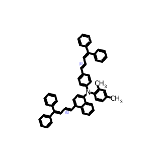 Cc1ccc(N(c2ccc(/C=C/C=C(c3ccccc3)c3ccccc3)cc2)c2ccc(/C=C/C=C(c3ccccc3)c3ccccc3)c3ccccc23)c(C)c1